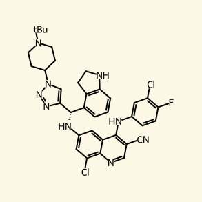 CC(C)(C)N1CCC(n2cc([C@@H](Nc3cc(Cl)c4ncc(C#N)c(Nc5ccc(F)c(Cl)c5)c4c3)c3cccc4c3CCN4)nn2)CC1